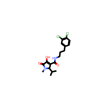 CC(C)C1C(C(=O)NCCCc2ccc(Cl)c(Cl)c2)=C(O)C(=O)N1C